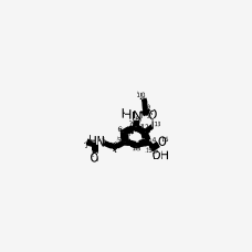 CC(=O)NCc1cc(NC(C)=O)c(I)c(C(=O)O)c1